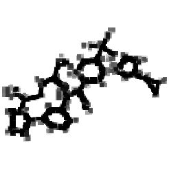 CC(=O)OCC(C)n1nnnc1-c1cccc(NC(=O)c2cc(-n3cnc(C4CC4)c3)c(C(F)(F)F)cn2)c1